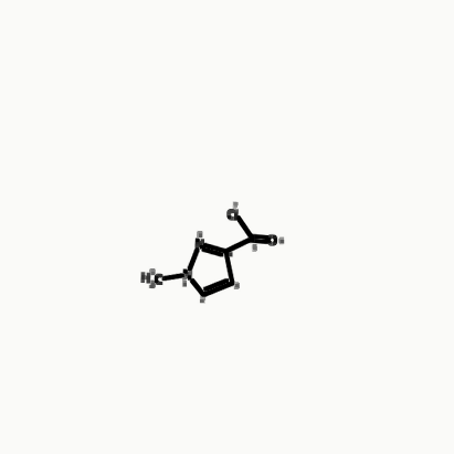 Cn1ccc(C(=O)Cl)n1